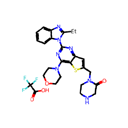 CCc1nc2ccccc2n1-c1nc(N2CCOCC2)c2sc(CN3CCNCC3=O)cc2n1.O=C(O)C(F)(F)F